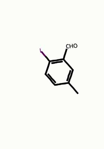 Cc1ccc(I)c(C=O)c1